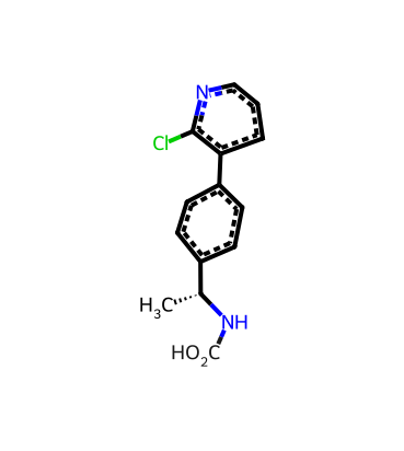 C[C@@H](NC(=O)O)c1ccc(-c2cccnc2Cl)cc1